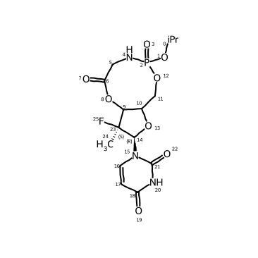 CC(C)OP1(=O)NCC(=O)OC2C(CO1)O[C@@H](n1ccc(=O)[nH]c1=O)[C@@]2(C)F